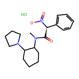 CN(C(=O)[C@H](c1ccccc1)[N+](=O)[O-])C1CCCCC1N1CCCC1.Cl